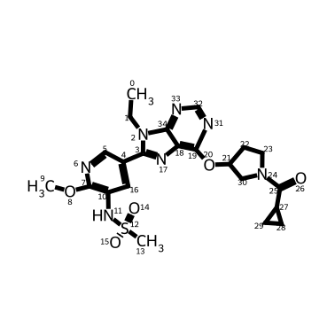 CCn1c(-c2cnc(OC)c(NS(C)(=O)=O)c2)nc2c(OC3CCN(C(=O)C4CC4)C3)ncnc21